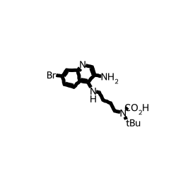 CC(C)(C)N(CCCCNc1c(N)cnc2cc(Br)ccc12)C(=O)O